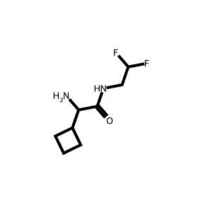 NC(C(=O)NCC(F)F)C1CCC1